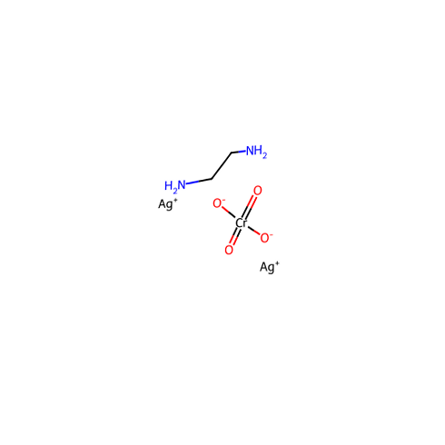 NCCN.[Ag+].[Ag+].[O]=[Cr](=[O])([O-])[O-]